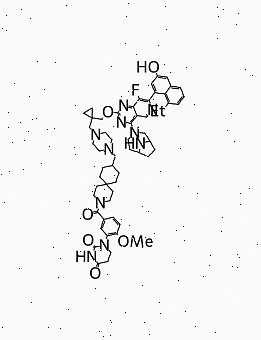 CCc1cccc2cc(O)cc(-c3ncc4c(N5CCC6CCC(C5)N6)nc(OCC5(CN6CCN(CC7CCC8(CC7)CCN(C(=O)c7ccc(OC)c(N9CCC(=O)NC9=O)c7)CC8)CC6)CC5)nc4c3F)c12